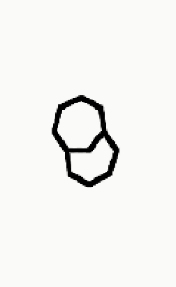 C1CCC2CCCCC(C1)C2